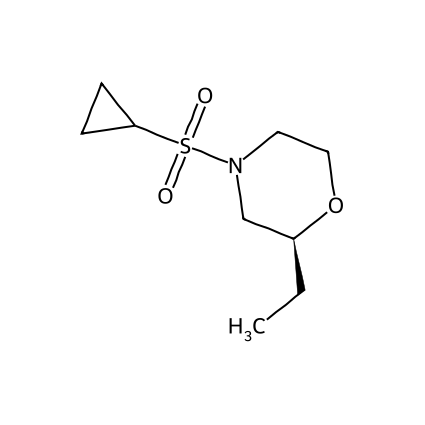 CC[C@H]1CN(S(=O)(=O)C2CC2)CCO1